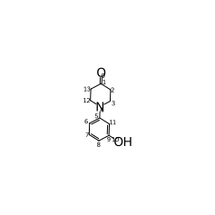 O=C1CCN(c2cccc(O)c2)CC1